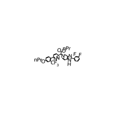 CCCOC(=O)C(c1ccc(-c2ccc(OCCC)cc2C(F)(F)F)nn1)N1C=Cc2[nH]c(-c3cccc(F)c3F)nc2C1